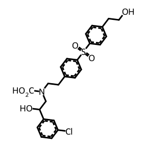 O=C(O)N(CCc1ccc(S(=O)(=O)c2ccc(CCO)cc2)cc1)CC(O)c1cccc(Cl)c1